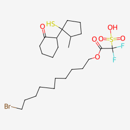 CC1CCCC1(S)C1CCCCC1=O.O=C(OCCCCCCCCCCBr)C(F)(F)S(=O)(=O)O